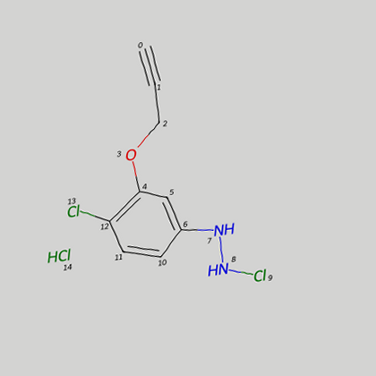 C#CCOc1cc(NNCl)ccc1Cl.Cl